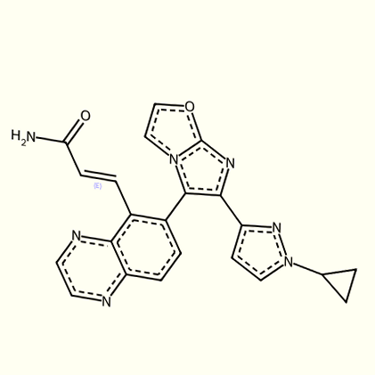 NC(=O)/C=C/c1c(-c2c(-c3ccn(C4CC4)n3)nc3occn23)ccc2nccnc12